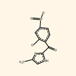 Cc1c[nH]c(C(=O)c2ccc([N+](=O)[O-])cc2Cl)n1